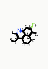 CCc1c(C)nc2cc(F)c(C)c3c2c1CCC3